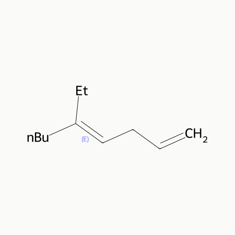 C=CC/C=C(\CC)CCCC